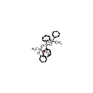 C[Si](C)(Oc1ccccc1)O[Si](O[Si](C)(C)c1ccccc1)(c1ccccc1)c1ccccc1